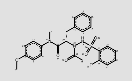 COc1ccc(N(C)C(=O)[C@H](Cc2ccccc2)N(NS(=O)(=O)c2ccccc2F)C(C)=O)cc1